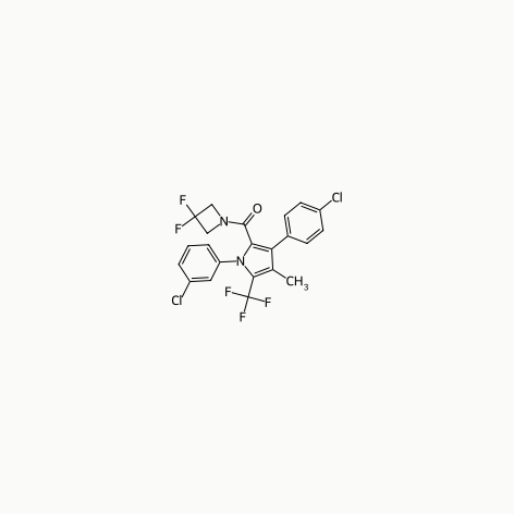 Cc1c(-c2ccc(Cl)cc2)c(C(=O)N2CC(F)(F)C2)n(-c2cccc(Cl)c2)c1C(F)(F)F